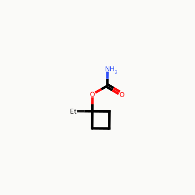 CCC1(OC(N)=O)CCC1